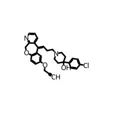 C#CCOc1ccc2c(c1)C(=CCCN1CCC(O)(c3ccc(Cl)cc3)CC1)c1cccnc1CO2